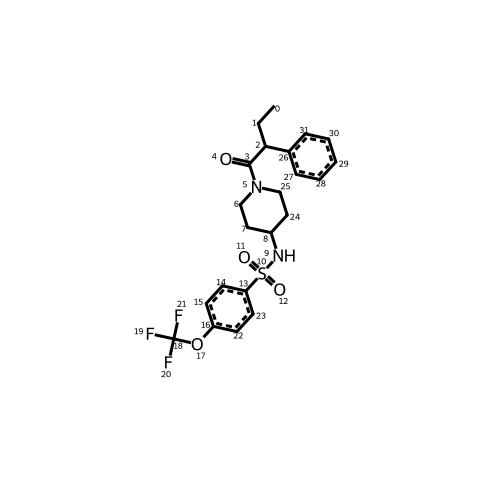 CCC(C(=O)N1CCC(NS(=O)(=O)c2ccc(OC(F)(F)F)cc2)CC1)c1ccccc1